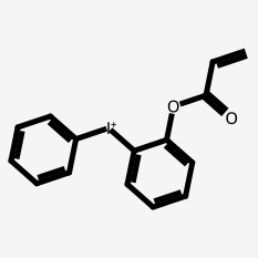 C=CC(=O)Oc1ccccc1[I+]c1ccccc1